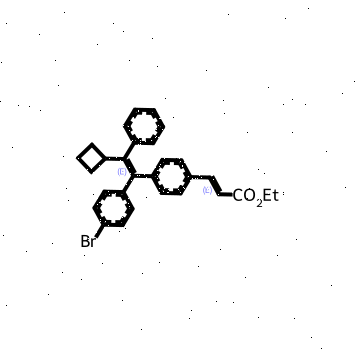 CCOC(=O)/C=C/c1ccc(/C(=C(\c2ccccc2)C2CCC2)c2ccc(Br)cc2)cc1